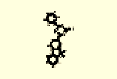 CC1(C)C2=CC(c3nc(Cl)nc(-c4ccccc4)n3)CC=C2c2ccccc21